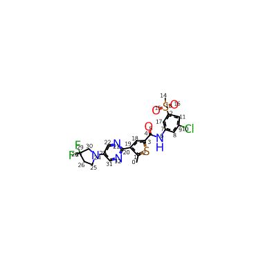 Cc1sc(C(=O)Nc2cc(Cl)cc(S(C)(=O)=O)c2)cc1-c1ncc(N2CCC(F)(F)C2)cn1